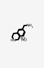 Cl.Cl.NCc1ccc2c(c1)CCNC2